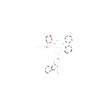 COc1ccccc1C1(O)C(O)CC(c2ccccc2)(c2ccccc2)C2CN(C(=O)Cc3cn(C)c4ccccc34)CC21